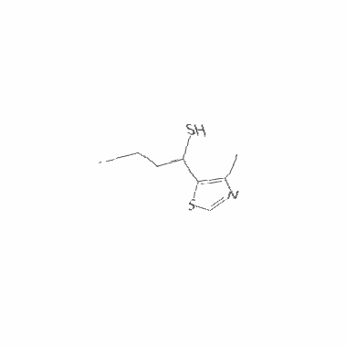 [CH2]CCC(S)c1scnc1C